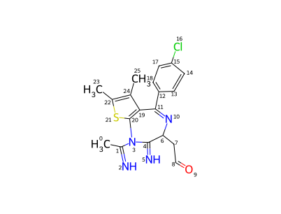 CC(=N)N1C(=N)C(CC=O)N=C(c2ccc(Cl)cc2)c2c1sc(C)c2C